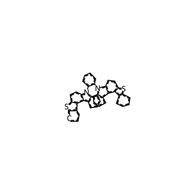 c1ccc(-n2c3ccccc3c3c4c(ccc32)sc2ccccc24)c(-n2c3ccccc3c3c4c(ccc32)sc2ccccc24)c1